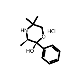 C[C@H]1NC(C)(C)CO[C@]1(O)c1ccccc1.Cl